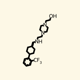 OCCN1CCN(CCNC=C2CCC(c3ccccc3C(F)(F)F)CC2)CC1